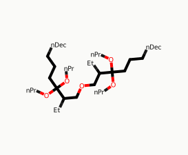 CCCCCCCCCCCCCC(OCCC)(OCCC)C(CC)COCC(CC)C(CCCCCCCCCCCCC)(OCCC)OCCC